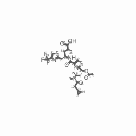 CC(=O)O[C@H](C[C@H](C)N(C)C(=O)CC1CC1)c1nc(C(=O)N[C@@H](Cc2nc(C(F)(F)F)cs2)C[C@H](C)C(=O)O)cs1